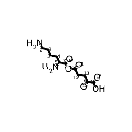 NCCCC[C@H](N)C(=O)OC(=O)CCC(=O)C(=O)O